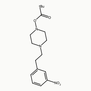 CC(C)(C)C(=O)ON1CCN(CCc2cccc([N+](=O)[O-])c2)CC1